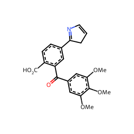 COc1cc(C(=O)c2cc(C3=NC=CC3)ccc2C(=O)O)cc(OC)c1OC